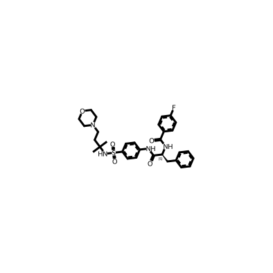 CC(C)(CCN1CCOCC1)NS(=O)(=O)c1ccc(NC(=O)[C@H](Cc2ccccc2)NC(=O)c2ccc(F)cc2)cc1